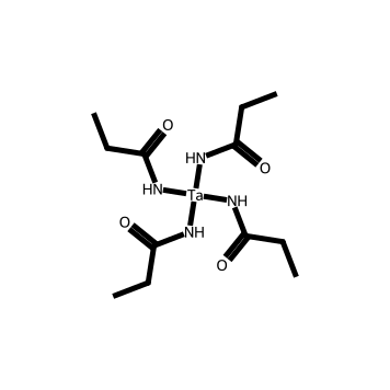 CCC(=O)[NH][Ta]([NH]C(=O)CC)([NH]C(=O)CC)[NH]C(=O)CC